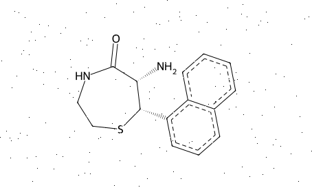 N[C@H]1C(=O)NCCS[C@H]1c1cccc2ccccc12